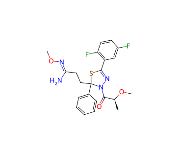 CO/N=C(\N)CCC1(c2ccccc2)SC(c2cc(F)ccc2F)=NN1C(=O)[C@H](C)OC